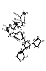 c1ccc(-c2nc(-c3ccccc3)nc(-c3ccc4c(c3)oc3ccnc(-c5cc6ccccc6cn5)c34)n2)cc1